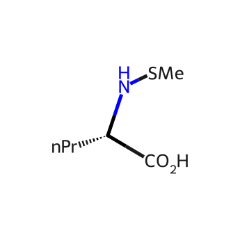 CCC[C@H](NSC)C(=O)O